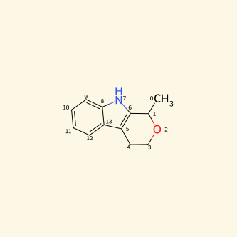 CC1OCCc2c1[nH]c1ccccc21